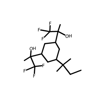 CCC(C)(C)C1CC(C(C)(O)C(F)(F)F)CC(C(C)(O)C(F)(F)F)C1